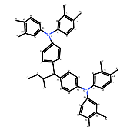 CCC(C)C(c1ccc(N(c2ccc(C)c(C)c2)c2ccc(C)c(C)c2)cc1)c1ccc(N(c2ccc(C)c(C)c2)c2ccc(C)c(C)c2)cc1